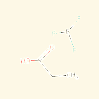 CCC(=O)O.FB(F)F